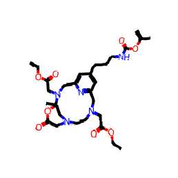 C=C(C)OC(=O)NCCCc1cc2nc(c1)CN(CC(=O)OCC)C1(C)CN(CCN(CC(=O)OCC)C2)CC(=O)O1